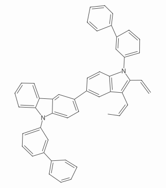 C=Cc1c(/C=C\C)c2cc(-c3ccc4c(c3)c3ccccc3n4-c3cccc(-c4ccccc4)c3)ccc2n1-c1cccc(-c2ccccc2)c1